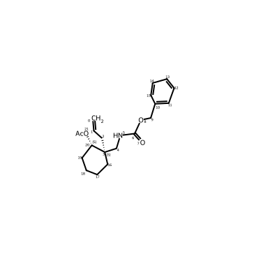 C=CC[C@]1(CNC(=O)OCc2ccccc2)CCCC[C@@H]1OC(C)=O